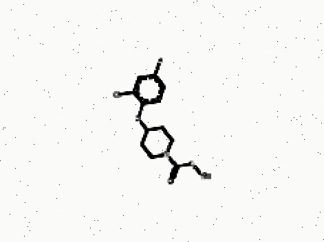 CC(C)(C)OC(=O)N1CCC(Oc2ccc(Br)cc2Cl)CC1